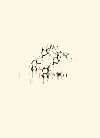 COc1cc(NCc2ccc3nc(N)nc(N)c3c2C)cc(OC)c1OC.COc1cc(NCc2ccc3nc(N)nc(N)c3c2C)cc(OC)c1OC.O=P(O)(O)O